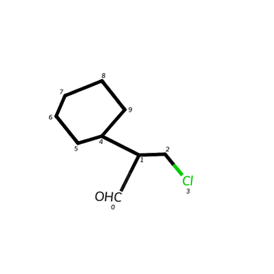 O=CC(CCl)C1CCCCC1